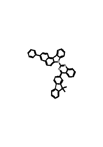 CC1(C)c2ccccc2-c2ccc(-c3nc(-n4c5ccccc5c5c6ccc(-c7ccccc7)cc6ccc54)nc4ccccc34)cc21